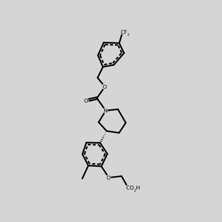 Cc1ccc([C@H]2CCCN(C(=O)OCc3ccc(C(F)(F)F)cc3)C2)cc1OCC(=O)O